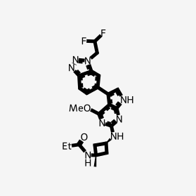 CCC(=O)N[C@]1(C)C[C@@H](Nc2nc(OC)c3c(-c4ccc5nnn(CC(F)F)c5c4)c[nH]c3n2)C1